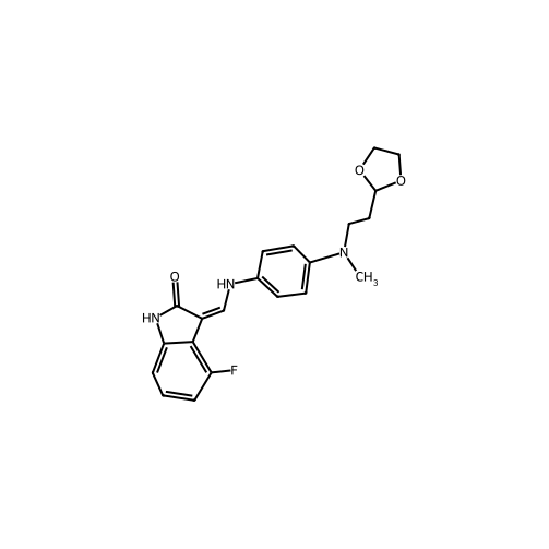 CN(CCC1OCCO1)c1ccc(NC=C2C(=O)Nc3cccc(F)c32)cc1